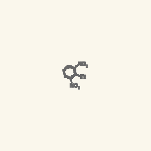 [CH2]Cc1c([N+](=O)[O-])cccc1[N+](=O)[O-]